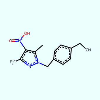 Cc1c([N+](=O)O)c(C(F)(F)F)nn1Cc1ccc(CC#N)cc1